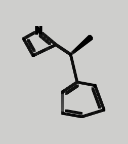 C[C@H](C1=NC=C1)c1ccccc1